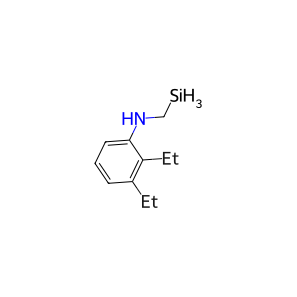 CCc1cccc(NC[SiH3])c1CC